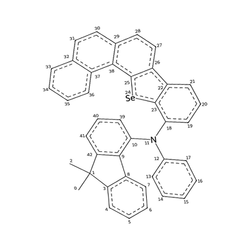 CC1(C)c2ccccc2-c2c(N(c3ccccc3)c3cccc4c3[se]c3c4ccc4ccc5ccccc5c43)cccc21